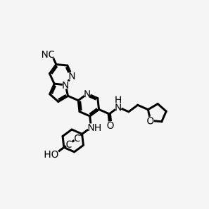 N#Cc1cnn2c(-c3cc(NC45CCC(O)(CC4)CC5)c(C(=O)NCCC4CCCO4)cn3)ccc2c1